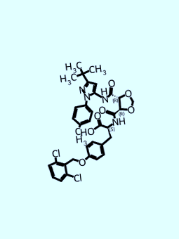 Cc1ccc(-n2nc(C(C)(C)C)cc2NC(=O)[C@@H]2OCO[C@H]2C(=O)N[C@@H](Cc2ccc(OCc3c(Cl)cccc3Cl)cc2)C(=O)O)cc1